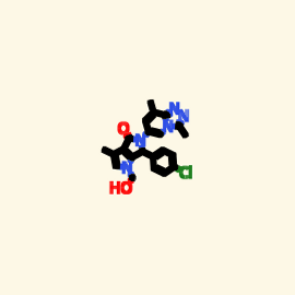 Cc1cn(CO)c2c1C(=O)N(c1cc(C)c3nnc(C)n3c1)C2c1ccc(Cl)cc1